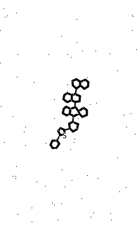 c1ccc(-c2ccc(-c3cccc(-c4c5ccccc5c(-c5ccc(-c6cccc7ccccc67)c6ccccc56)c5ccccc45)c3)s2)cc1